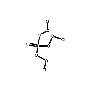 O=P(OOCl)(OOCl)OOCl